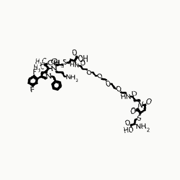 CC(C)(C)[C@H](c1cc(-c2cc(F)ccc2F)cn1Cc1ccccc1)N(CCCN)C(=O)CSCCC(NC(=O)CCOCCOCCOCCOCCNC(=O)CCN1C(=O)CC(SC[C@H](N)C(=O)O)C1=O)C(=O)O